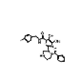 O=C(NCc1ccc(F)cc1)c1nc(C2CNCCN2C(=O)c2ccccc2)nc(O)c1O